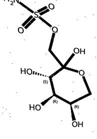 NS(=O)(=O)OCC1(O)OC[C@@H](O)[C@@H](O)[C@@H]1O